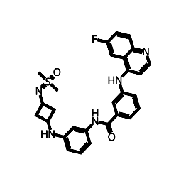 CS(C)(=O)=NC1CC(Nc2cccc(NC(=O)c3cccc(Nc4ccnc5ccc(F)cc45)c3)c2)C1